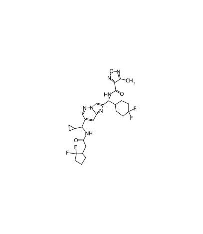 Cc1nonc1C(=O)N[C@H](c1cn2ncc(C(NC(=O)CC3CCCC3(F)F)C3CC3)cc2n1)C1CCC(F)(F)CC1